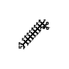 O=S(=O)([O-])C(F)(F)C(F)(F)C(F)(F)C(F)(F)C(F)(F)C(F)(F)C(F)(F)C(F)(F)C(F)F.[Li+]